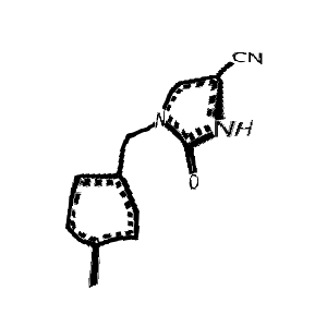 Cc1ccc(Cn2cc(C#N)[nH]c2=O)cc1